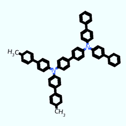 CC1C=CC(c2ccc(N(c3ccc(C4=CCC(C)C=C4)cc3)c3ccc(-c4ccc(N(c5ccc(-c6ccccc6)cc5)c5ccc(C6C=CC=CC6)cc5)cc4)cc3)cc2)=CC1